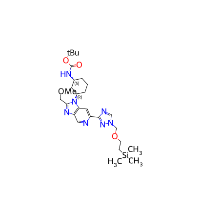 COCc1nc2cnc(-c3ncn(COCC[Si](C)(C)C)n3)cc2n1[C@@H]1CCC[C@H](NC(=O)OC(C)(C)C)C1